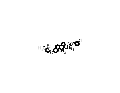 CC[C@H]1OC(O[C@H]2CC[C@@]3(C)C(=CCC4C3CC[C@@]3(C)C4CC[C@@H]3/C(C)=N/OCc3cccc(Cl)c3)C2)C=C[C@@H]1C